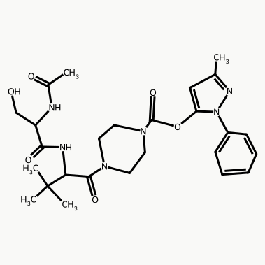 CC(=O)NC(CO)C(=O)NC(C(=O)N1CCN(C(=O)Oc2cc(C)nn2-c2ccccc2)CC1)C(C)(C)C